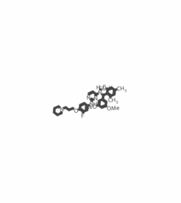 COc1cc(OC)cc(C(c2c(C)cc(C)cc2C)N(C(=O)O)c2ccnc(Nc3ccc(OCCCN4CCCCC4)c(F)c3)n2)c1